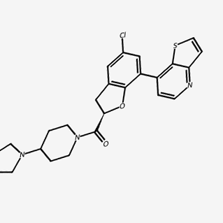 O=C([C@H]1Cc2cc(Cl)cc(-c3ccnc4ccsc34)c2O1)N1CCC(N2CCCC2)CC1